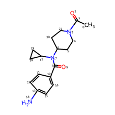 CC(=O)N1CCC(N(C(=O)c2ccc(N)cc2)C2CC2)CC1